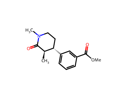 COC(=O)c1cccc([C@H]2CCN(C)C(=O)[C@@H]2C)c1